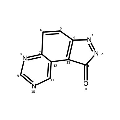 O=C1N=Nc2ccc3ncncc3c21